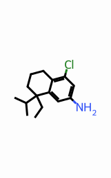 CCC1(C(C)C)CCCc2c(Cl)cc(N)cc21